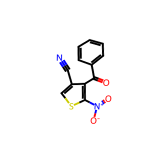 N#Cc1csc([N+](=O)[O-])c1C(=O)c1ccccc1